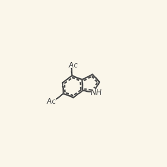 CC(=O)c1cc(C(C)=O)c2cc[nH]c2c1